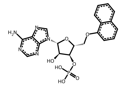 Nc1ncnc2c1ncn2[C@@H]1O[C@H](COc2cccc3ccccc23)[C@@H](OP(=O)(O)O)[C@H]1O